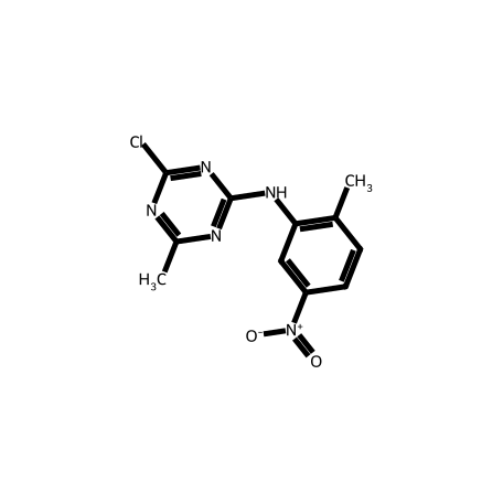 Cc1nc(Cl)nc(Nc2cc([N+](=O)[O-])ccc2C)n1